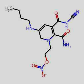 CCCCNC1=CC(C(=O)NC#N)=C(C(N)=O)N(CCO[N+](=O)[O-])C1